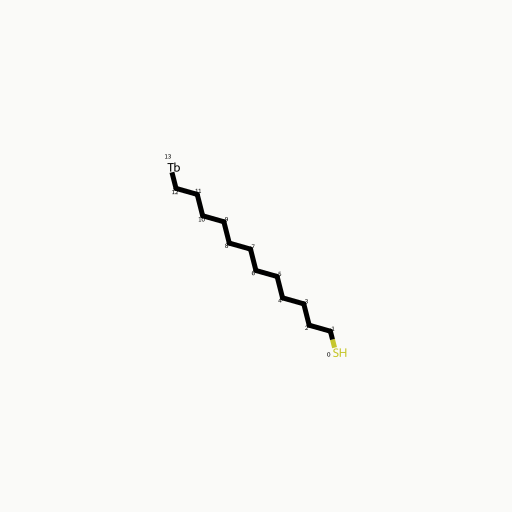 SCCCCCCCCCCC[CH2][Tb]